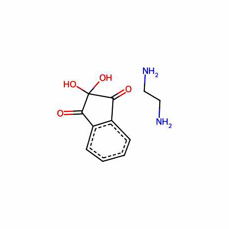 NCCN.O=C1c2ccccc2C(=O)C1(O)O